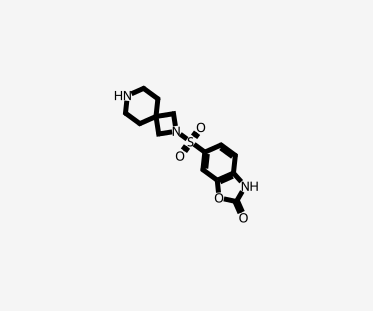 O=c1[nH]c2ccc(S(=O)(=O)N3CC4(CCNCC4)C3)cc2o1